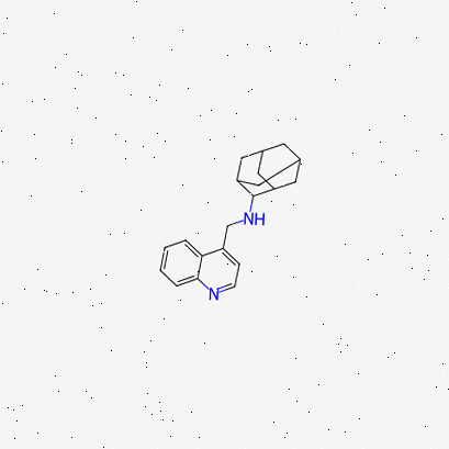 c1ccc2c(CNC3C4CC5CC(C4)CC3C5)ccnc2c1